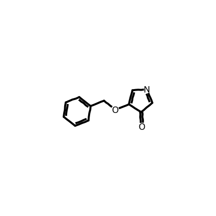 O=C1C=NC=C1OCc1ccccc1